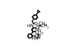 CC(C)(C)Sc1ncc(-c2ccccc2-c2nnn[nH]2)cc1NC(=O)Cc1ccc(C2CC2)cc1